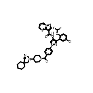 CN(CC1(C#N)CCCCC1)C1CCN(C(=O)c2ccc(-n3cc(NC(=O)c4cnn5cccnc45)c(-c4cc(Cl)ccc4OC(F)F)n3)cc2)CC1